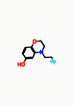 Oc1ccc2c(c1)N(CC[18F])CCO2